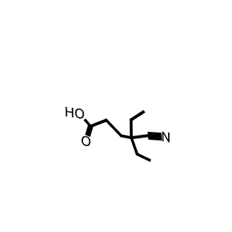 CCC(C#N)(CC)CCC(=O)O